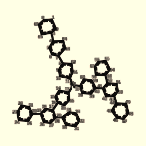 c1ccc(-c2ccc(-c3ccc(N(c4ccc(-c5cc(-c6ccccc6)ccc5-c5ccccc5)cc4)c4ccc(-c5cc(-c6ccccc6)ccc5-c5ccccc5)cc4)cc3)cc2)cc1